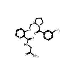 NC(=O)CNC(=O)c1ncccc1OC[C@H]1CCCN1C(=O)c1cccc(C(F)(F)F)c1